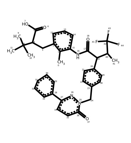 Cc1c(CC(C(=O)O)C(C)(C)C)cccc1NC(=O)C(c1ccc(Cn2nc(-c3ccccc3)ccc2=O)cc1)C(C)C(F)(F)F